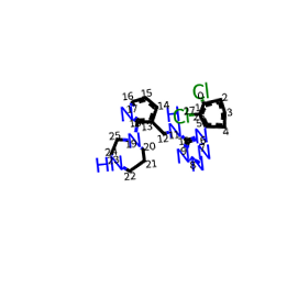 Clc1cccc(-n2nnnc2NCc2cccnc2N2CCCNCC2)c1Cl